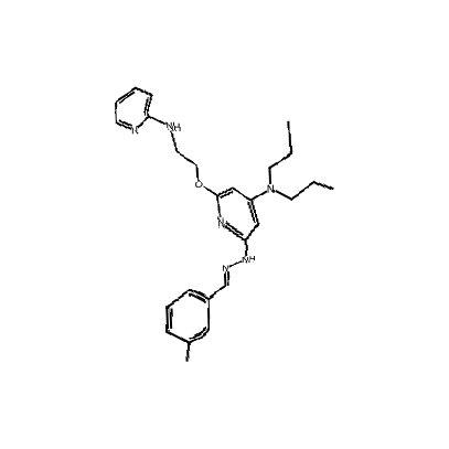 CCCN(CCC)c1cc(N/N=C/c2cccc(C)c2)nc(OCCNc2ccccn2)c1